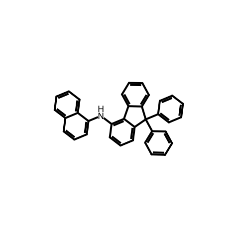 c1ccc(C2(c3ccccc3)c3ccccc3-c3c(Nc4cccc5ccccc45)cccc32)cc1